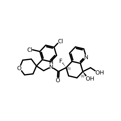 O=C(NCC1(c2ccc(Cl)cc2Cl)CCOCC1)[C@]1(F)CC[C@@](O)(CO)c2ncccc21